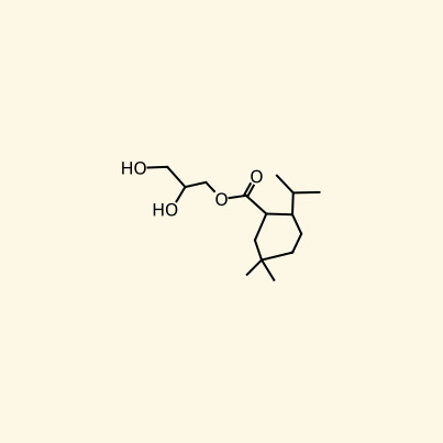 CC(C)C1CCC(C)(C)CC1C(=O)OCC(O)CO